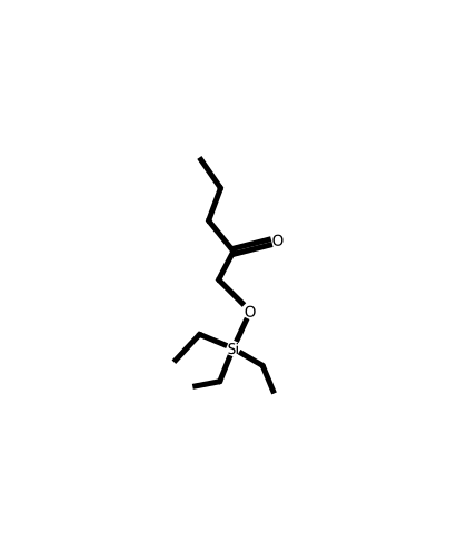 CCCC(=O)CO[Si](CC)(CC)CC